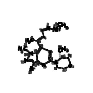 CN/N=C\C=C(/C)c1cc(N2CCOC[C@H]2C)nc2c(Br)nn(C)c12